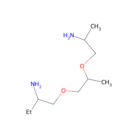 CCC(N)COCC(C)OCC(C)N